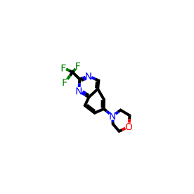 FC(F)(F)c1ncc2cc(N3CCOCC3)ccc2n1